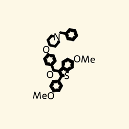 COc1ccc(-c2sc3cc(OC)ccc3c2C(=O)c2ccc(OC3CCN(Cc4ccccc4)CC3)cc2)cc1